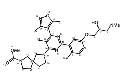 CNC[C@H](O)COc1ccc(F)c(-c2nc(-c3c(C)noc3C)c(C)c(N3CCC4(CCN(C(=O)OC)C4)C3)n2)c1